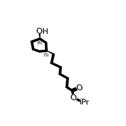 CC(C)OC(=O)CCCCCC[C@H]1CCC[C@@H](O)C1